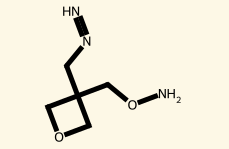 N=NCC1(CON)COC1